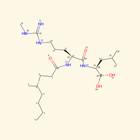 CCCCC(C)CCC(=O)N[C@@H](CCCNC(=N)NC)C(=O)N[C@@H](CC(C)C)B(O)O